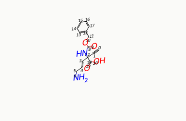 C#CC(C=CCN)(NC(=O)OCc1ccccc1)C(=O)O